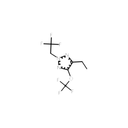 CCc1nn(CC(F)(F)F)nc1OC(F)(F)F